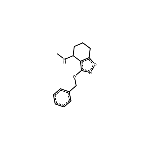 CNC1CCCc2onc(OCc3ccccc3)c21